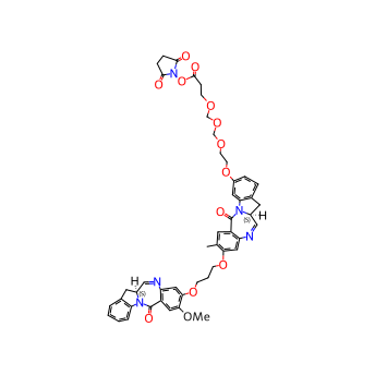 COc1cc2c(cc1OCCCOc1cc3c(cc1C)C(=O)N1c4cc(OCCOCOCOCCC(=O)ON5C(=O)CCC5=O)ccc4C[C@H]1C=N3)N=C[C@@H]1Cc3ccccc3N1C2=O